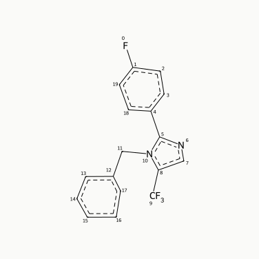 Fc1ccc(-c2ncc(C(F)(F)F)n2Cc2ccccc2)cc1